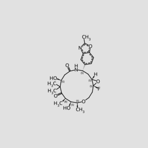 Cc1nc2cc([C@@H]3C[C@@H]4O[C@]4(F)CCO[C@@H](C)[C@@H](O)[C@@H](C)C(=O)C(C)(C)[C@@H](O)CC(=O)N3)ccc2o1